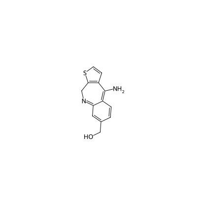 NC1=c2ccc(CO)cc2=NCc2sccc21